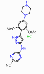 COc1cc(N2CCNCC2)cc(OC)c1-c1cc(Nc2cnc(C#N)cn2)n[nH]1.Cl